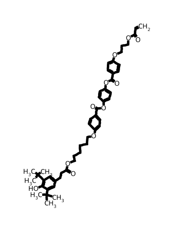 C=CC(=O)OCCCOc1ccc(C(=O)Oc2ccc(OC(=O)c3ccc(OCCCCCCOC(=O)CCc4cc(C(C)(C)C)c(O)c(C(C)(C)C)c4)cc3)cc2)cc1